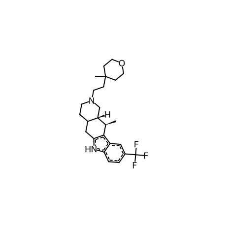 C[C@H]1c2c([nH]c3ccc(C(F)(F)F)cc23)CC2CCN(CCC3(C)CCOCC3)C[C@@H]21